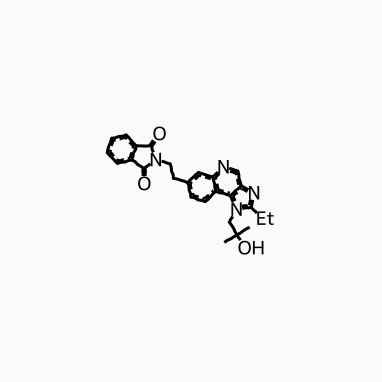 CCc1nc2cnc3cc(CCN4C(=O)c5ccccc5C4=O)ccc3c2n1CC(C)(C)O